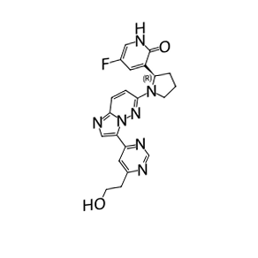 O=c1[nH]cc(F)cc1[C@H]1CCCN1c1ccc2ncc(-c3cc(CCO)ncn3)n2n1